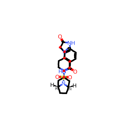 CN(C)C1CCN(S(=O)(=O)N2[C@@H]3CC[C@H]2C[C@H](NC(=O)c2ccc4c(c2)CC(=O)N4)C3)CC1